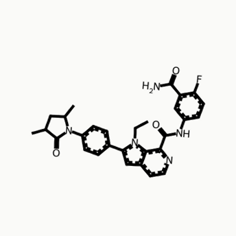 CCn1c(-c2ccc(N3C(=O)C(C)CC3C)cc2)cc2ccnc(C(=O)Nc3ccc(F)c(C(N)=O)c3)c21